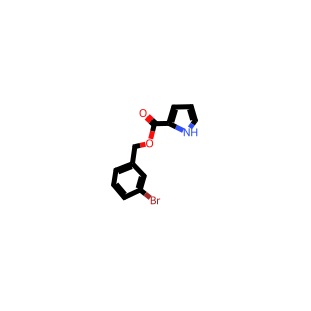 O=C(OCc1cccc(Br)c1)c1ccc[nH]1